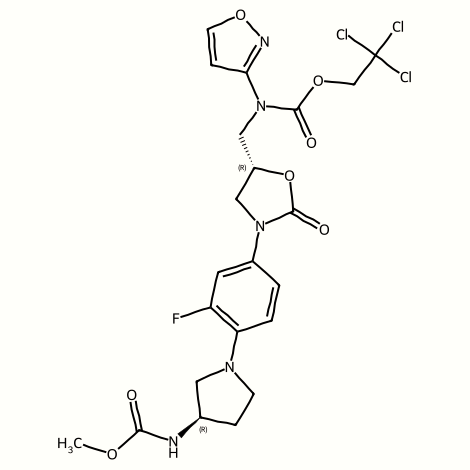 COC(=O)N[C@@H]1CCN(c2ccc(N3C[C@H](CN(C(=O)OCC(Cl)(Cl)Cl)c4ccon4)OC3=O)cc2F)C1